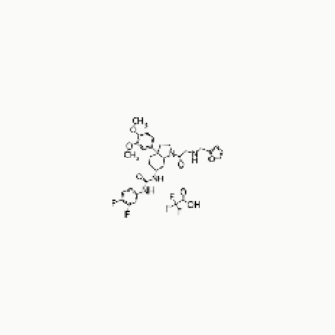 COc1ccc(C23CCC(NC(=O)Nc4ccc(F)c(F)c4)CC2N(C(=O)CNCc2ccco2)CC3)cc1OC.O=C(O)C(F)(F)F